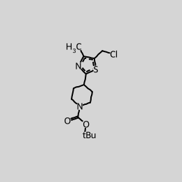 Cc1nc(C2CCN(C(=O)OC(C)(C)C)CC2)sc1CCl